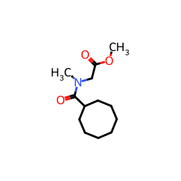 COC(=O)CN(C)C(=O)C1CCCCCCC1